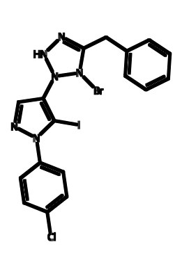 Clc1ccc(-n2ncc(N3NN=C(Cc4ccccc4)N3Br)c2I)cc1